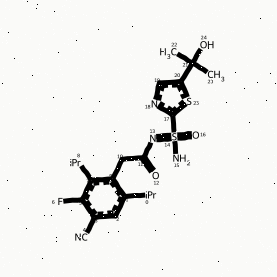 CC(C)c1cc(C#N)c(F)c(C(C)C)c1CC(=O)N=S(N)(=O)c1ncc(C(C)(C)O)s1